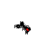 N#CN1CC2CCC1[C@@H]2NC(=O)c1ncc(-c2ccncc2Sc2ccc(F)cc2)s1